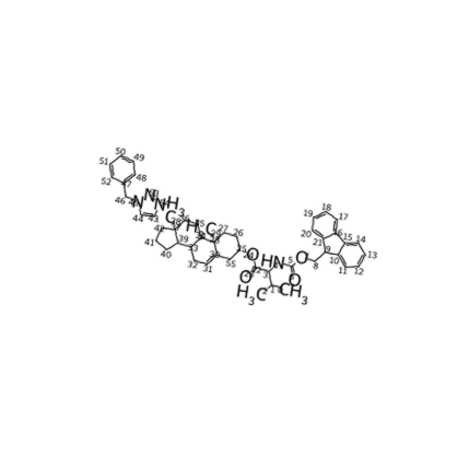 CC(C)C(NC(=O)OCC1c2ccccc2-c2ccccc21)C(=O)O[C@H]1CC[C@@]2(C)C(=CCC3C2CC[C@@]2(C)C3CC[C@@H]2c2cn(Cc3ccccc3)nn2)C1